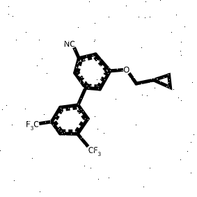 N#Cc1cc(OCC2CC2)cc(-c2cc(C(F)(F)F)cc(C(F)(F)F)c2)c1